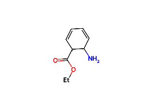 CCOC(=O)[C]1C=CC=CC1N